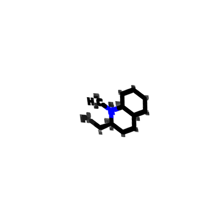 CC(C)C[C@@H]1CCC2CCCCC2N1C